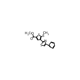 COC(=O)c1cc(-c2nc(-c3ccccc3)cs2)c(SC)s1